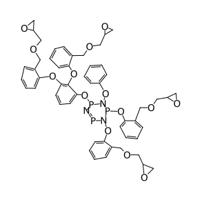 c1ccc(On2p(Oc3cccc(Oc4ccccc4COCC4CO4)c3Oc3ccccc3COCC3CO3)npn(Oc3ccccc3COCC3CO3)p2Oc2ccccc2COCC2CO2)cc1